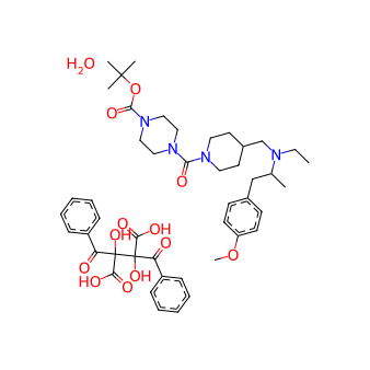 CCN(CC1CCN(C(=O)N2CCN(C(=O)OC(C)(C)C)CC2)CC1)C(C)Cc1ccc(OC)cc1.O.O=C(O)C(O)(C(=O)c1ccccc1)C(O)(C(=O)O)C(=O)c1ccccc1